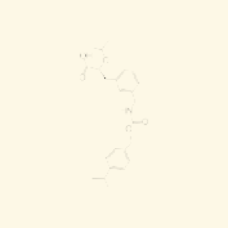 CC(C)O[C@@H](Cc1cccc(CNC(=O)OCc2ccc(C(C)C)cc2)c1)C(=O)O